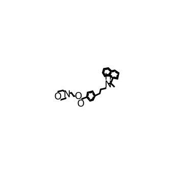 CC(NCCCc1ccc(C(=O)OCCN2CCOCC2)cc1)c1cccc2ccccc12